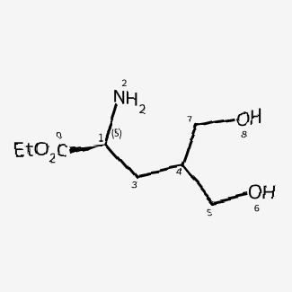 CCOC(=O)[C@@H](N)CC(CO)CO